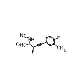 Cc1cc(C#CC(F)C(C=O)NC#N)ccc1F